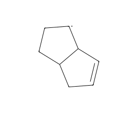 [CH]1CCC2CC=CC12